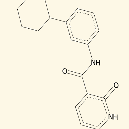 O=C(Nc1cccc(C2CCCCC2)c1)c1ccc[nH]c1=O